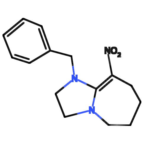 O=[N+]([O-])C1=C2N(CCCC1)CCN2Cc1ccccc1